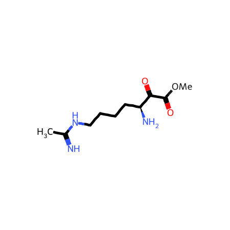 COC(=O)C(=O)[C@@H](N)CCCCNC(C)=N